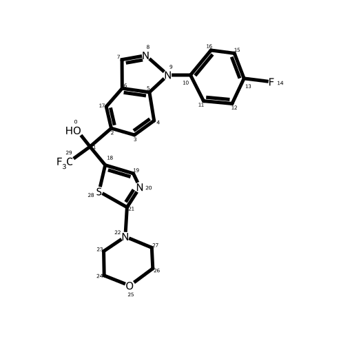 OC(c1ccc2c(cnn2-c2ccc(F)cc2)c1)(c1cnc(N2CCOCC2)s1)C(F)(F)F